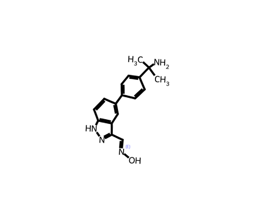 CC(C)(N)c1ccc(-c2ccc3[nH]nc(/C=N/O)c3c2)cc1